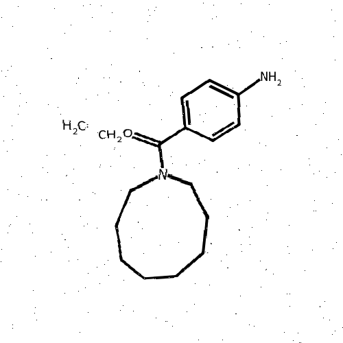 Nc1ccc(C(=O)N2CC[CH]CCCCC2)cc1.[CH2].[CH2]